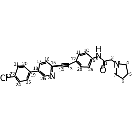 O=C(CN1CCCC1)Nc1ccc(C#Cc2ccc(-c3ccc(Cl)cc3)cn2)cc1